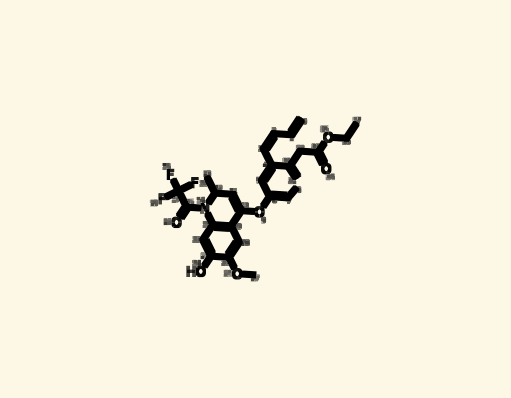 C=C\C=C/C(=C/C(=C\C)OC1=CC(C)N(C(=O)C(F)(F)F)c2cc(O)c(OC)cc21)C(=C)CC(=O)OCC